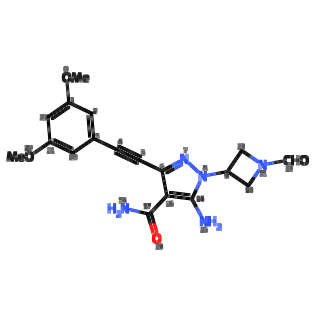 COc1cc(C#Cc2nn(C3CN(C=O)C3)c(N)c2C(N)=O)cc(OC)c1